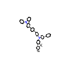 [2H]c1ccc2c(c1)C(C)(C)c1cc(N(c3ccc(-c4ccccc4)cc3)c3ccc(-c4ccc(-c5ccc6c(c5)c5ccccc5n6-c5ccccc5)cc4)cc3)ccc1-2